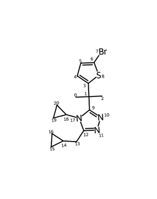 CC(C)(c1ccc(Br)s1)c1nnc(CC2CC2)n1C1CC1